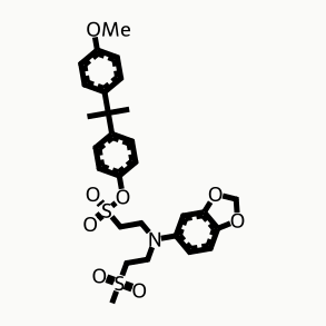 COc1ccc(C(C)(C)c2ccc(OS(=O)(=O)CCN(CCS(C)(=O)=O)c3ccc4c(c3)OCO4)cc2)cc1